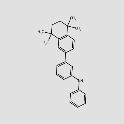 CC1(C)CCC(C)(C)c2cc(-c3cccc(Nc4ccccc4)c3)ccc21